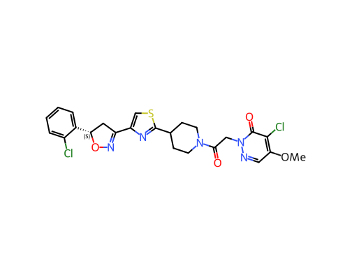 COc1cnn(CC(=O)N2CCC(c3nc(C4=NO[C@H](c5ccccc5Cl)C4)cs3)CC2)c(=O)c1Cl